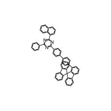 c1ccc(-c2nc(-c3ccc(-c4ccc(-c5cccc6c5C5(c7ccccc7-c7ccccc75)c5ccccc5-6)cc4)cc3)nc(-c3cccc4ccccc34)n2)cc1